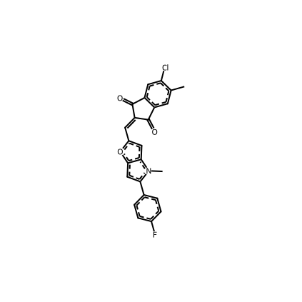 Cc1cc2c(cc1Cl)C(=O)/C(=C/c1cc3c(cc(-c4ccc(F)cc4)n3C)o1)C2=O